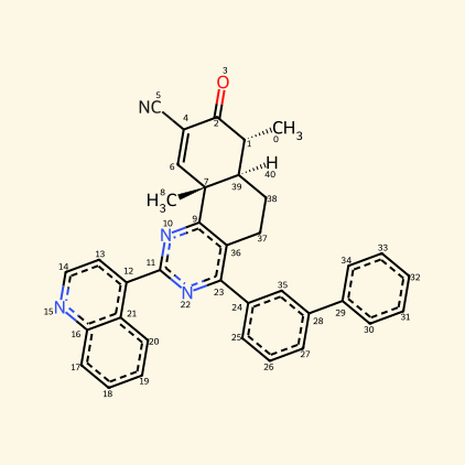 C[C@H]1C(=O)C(C#N)=C[C@@]2(C)c3nc(-c4ccnc5ccccc45)nc(-c4cccc(-c5ccccc5)c4)c3CC[C@H]12